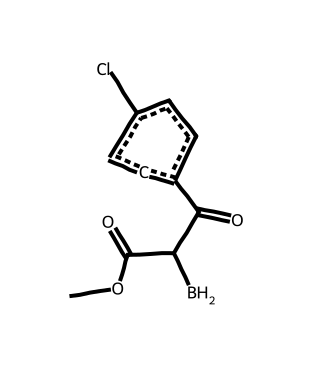 BC(C(=O)OC)C(=O)c1ccc(Cl)cc1